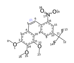 COc1cc(/C=C\c2ccc(C(C)(F)F)cc2[N+](=O)[O-])cc(OC)c1OC